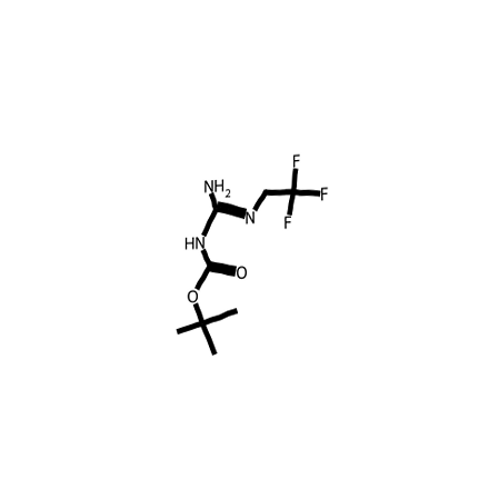 CC(C)(C)OC(=O)NC(N)=NCC(F)(F)F